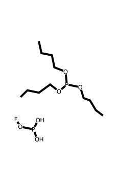 CCCCOP(OCCCC)OCCCC.OP(O)OF